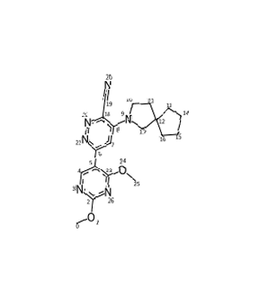 COc1ncc(-c2cc(N3CCC4(CCCC4)C3)c(C#N)nn2)c(OC)n1